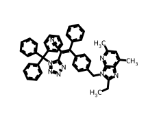 CCc1nc2c(C)cc(C)nc2n1Cc1ccc(C(=C(C#N)c2nnnn2C(c2ccccc2)(c2ccccc2)c2ccccc2)c2ccccc2)cc1